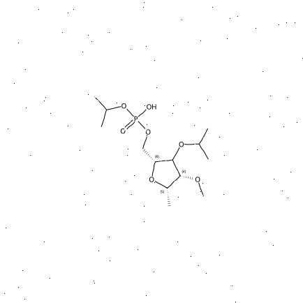 CO[C@H]1C(OC(C)C)[C@@H](COP(=O)(O)OC(C)C)O[C@H]1C